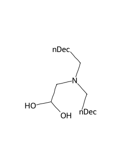 CCCCCCCCCCCN(CCCCCCCCCCC)CC(O)O